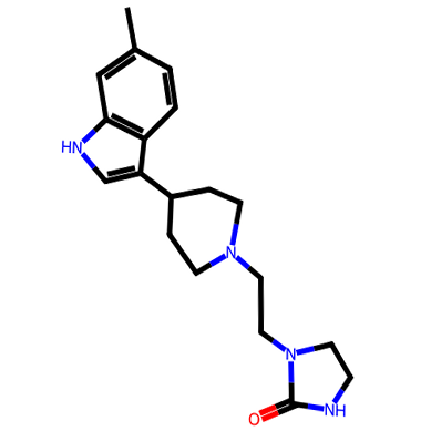 Cc1ccc2c(C3CCN(CCN4CCNC4=O)CC3)c[nH]c2c1